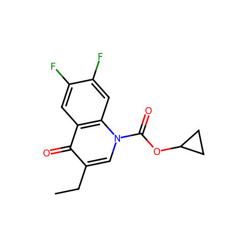 CCc1cn(C(=O)OC2CC2)c2cc(F)c(F)cc2c1=O